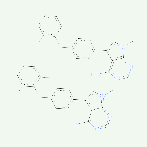 CC(C)n1cc(-c2ccc(Oc3c(F)cccc3C=O)cc2)c2c(N)ncnc21.CC(C)n1cc(-c2ccc(Oc3ccccc3C=O)cc2)c2c(N)ncnc21